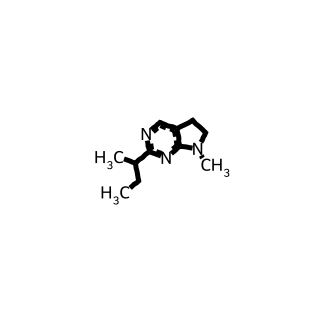 CCC(C)c1ncc2c(n1)N(C)CC2